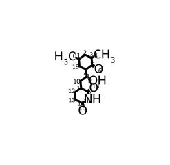 CC1CC(C)C(=O)C([C@H](O)CC2CCC(=O)NC2=O)C1